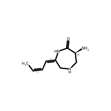 C/C=C\C=C1/CNC[C@H](N)C(=O)N1